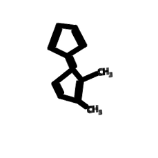 CC1=C(C)C(=C2C=CC=C2)C=C1